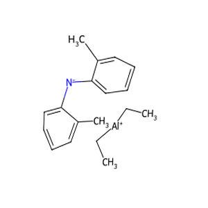 C[CH2][Al+][CH2]C.Cc1ccccc1[N-]c1ccccc1C